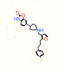 O=c1[nH]c2ccc(C3CCC(NCc4ccoc4CCCc4ccc(F)cc4)CC3)cc2o1